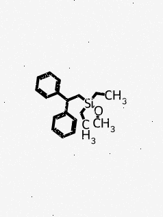 CC[Si](CC)(CC(c1ccccc1)c1ccccc1)OC